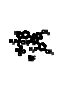 Cc1ccc(C(NC(=O)C2(c3ccc4[nH]cc(C(C)(C)COP(=O)([O-])[O-])c4c3)CC2)c2ccc(C)o2)c(C)c1.[Na+].[Na+]